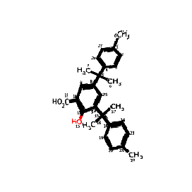 Cc1ccc(C(C)(C)c2cc(C(=O)O)c(O)c(C(C)(C)c3ccc(C)cc3)c2)cc1